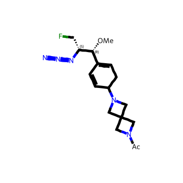 CO[C@H](C1=CCC(N2CC3(CN(C(C)=O)C3)C2)C=C1)[C@@H](CF)N=[N+]=[N-]